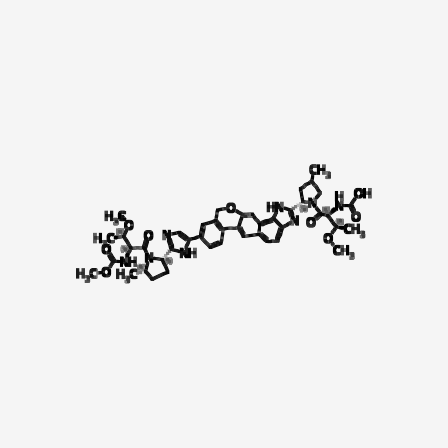 COC(=O)N[C@H](C(=O)N1[C@@H](C)CC[C@H]1c1ncc(-c2ccc3c(c2)COc2cc4c(ccc5nc([C@@H]6CC(C)CN6C(=O)[C@@H](NC(=O)O)[C@@H](C)OC)[nH]c54)cc2-3)[nH]1)[C@@H](C)OC